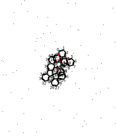 c1ccc(-c2ccccc2N(c2ccccc2)c2ccc3c(c2)C2(c4ccccc4-3)c3ccccc3-c3cc4ccccc4c(N(c4ccccc4)c4ccccc4)c32)cc1